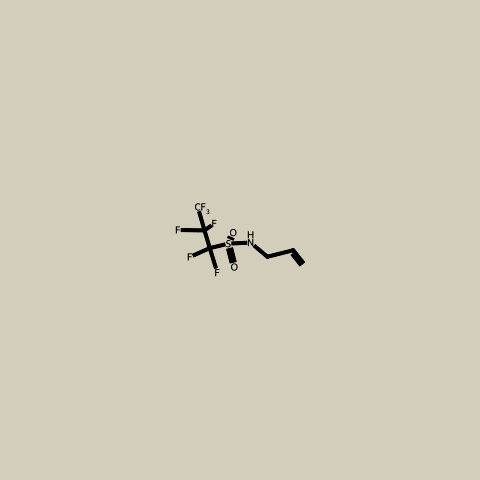 C=CCNS(=O)(=O)C(F)(F)C(F)(F)C(F)(F)F